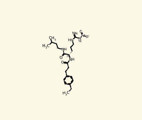 CCc1ccc(CCC(=O)N[C@@H](CCCNC(=N)N[N+](=O)[O-])C(=O)N[CH]CC(C)C)cc1